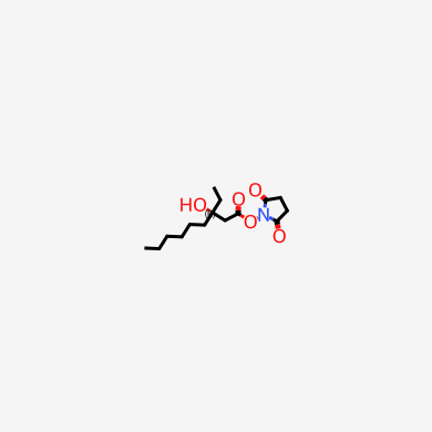 CCCCCC[C@](O)(CC)CC(=O)ON1C(=O)CCC1=O